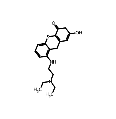 CCN(CC)CCNc1cccc2c1CC1=C(S2)C(=O)CC(O)=C1